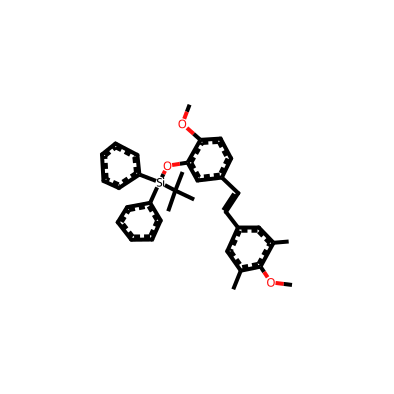 COc1ccc(C=Cc2cc(C)c(OC)c(C)c2)cc1O[Si](c1ccccc1)(c1ccccc1)C(C)(C)C